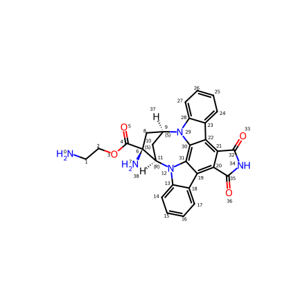 NCCOC(=O)[C@]1(N)C[C@@H]2C[C@H]1n1c3ccccc3c3c4c(c5c6ccccc6n2c5c31)C(=O)NC4=O